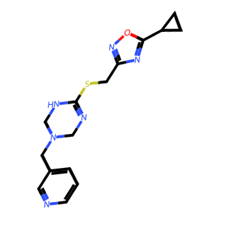 c1cncc(CN2CN=C(SCc3noc(C4CC4)n3)NC2)c1